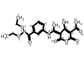 CCON(OCC)C(=O)c1cccc(NC(C)=C2C(=O)OC(=O)C(C(C)=O)=C2O)c1